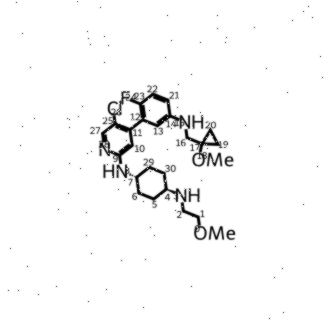 COCCN[C@H]1CC[C@H](Nc2cc(-c3cc(NCC4(OC)CC4)ccc3F)c(Cl)cn2)CC1